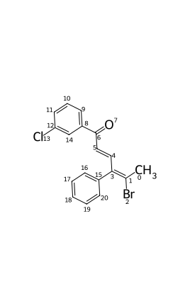 C/C(Br)=C(\C=C\C(=O)c1cccc(Cl)c1)c1ccccc1